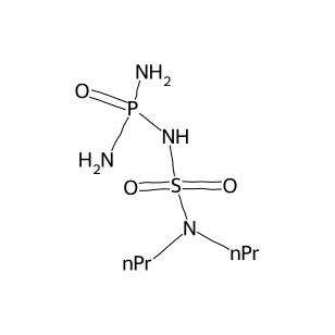 CCCN(CCC)S(=O)(=O)NP(N)(N)=O